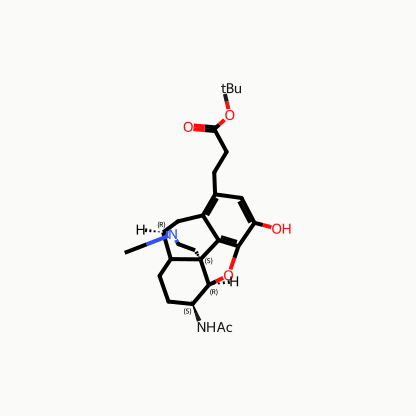 CC(=O)N[C@H]1CCC2[C@H]3Cc4c(CCC(=O)OC(C)(C)C)cc(O)c5c4[C@@]2(CCN3C)[C@H]1O5